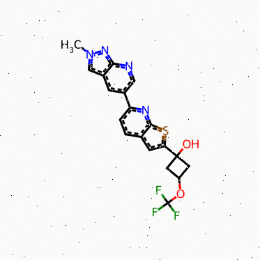 Cn1cc2cc(-c3ccc4cc(C5(O)CC(OC(F)(F)F)C5)sc4n3)cnc2n1